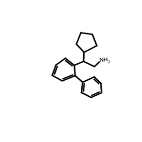 NCC(c1ccccc1-c1ccccc1)C1CCCC1